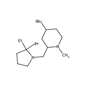 CCC1(C(C)C)CCCN1CC1CC(C(C)(C)C)CCN1C